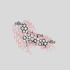 BCc1c(B)c(B)c(CCCC)c2c(B)c(B)c3c(c12)C(C)=C(c1c(B)c(B)c(B)c(/C(B)=C2\CC4(C(=C)/C(=C(/B)C(B)=C(B)B)c5c4cc(B)c(B)c5B)/C(=C/C(=C)c4c(B)c(B)c5c(B)c(B)c6c(CCCC)c(B)c(B)c7c(B)c(B)c4c5c76)C2=C(B)B)c1C#C)C3B